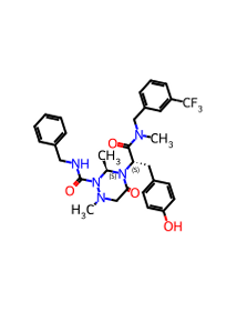 C[C@H]1N([C@@H](Cc2ccc(O)cc2)C(=O)N(C)Cc2cccc(C(F)(F)F)c2)C(=O)CN(C)N1C(=O)NCc1ccccc1